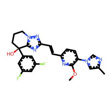 COc1nc(/C=C/c2nc3n(n2)CCC[C@@]3(O)c2cc(F)cc(F)c2)ccc1-n1cnc(C)c1